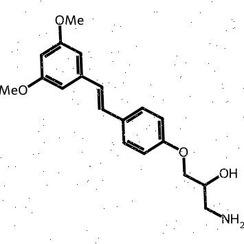 COc1cc(C=Cc2ccc(OCC(O)CN)cc2)cc(OC)c1